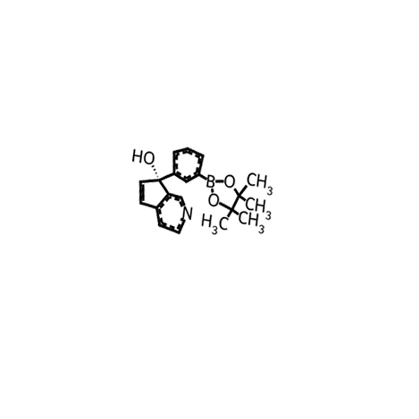 CC1(C)OB(c2cccc([C@]3(O)C=Cc4ccncc43)c2)OC1(C)C